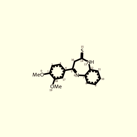 COc1ccc(C2=Nc3ccccc3NC(=S)C2)cc1OC